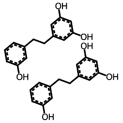 Oc1cccc(CCc2cc(O)cc(O)c2)c1.Oc1cccc(CCc2cc(O)cc(O)c2)c1